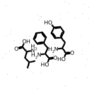 CC(C)CC(N)C(=O)O.NC(Cc1ccc(O)cc1)C(=O)O.NC(Cc1ccccc1)C(=O)O